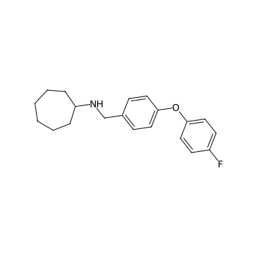 Fc1ccc(Oc2ccc(CNC3CCCCCC3)cc2)cc1